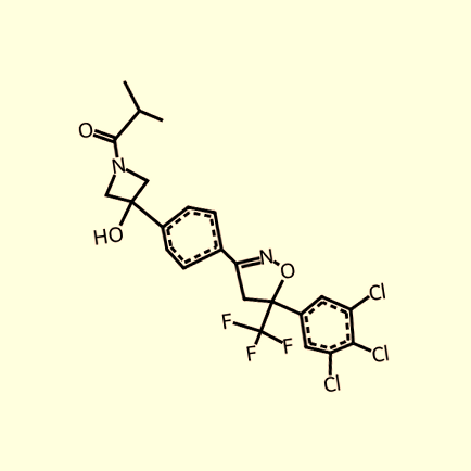 CC(C)C(=O)N1CC(O)(c2ccc(C3=NOC(c4cc(Cl)c(Cl)c(Cl)c4)(C(F)(F)F)C3)cc2)C1